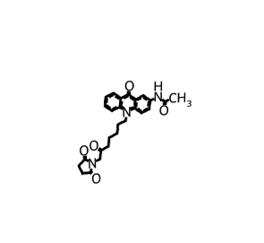 CC(=O)Nc1ccc2c(c1)c(=O)c1ccccc1n2CCCCCC(=O)CN1C(=O)CCC1=O